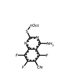 CCCCCCCCSc1nc(N)c2c(F)c(C#N)c(F)c(F)c2n1